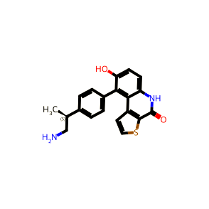 C[C@H](CN)c1ccc(-c2c(O)ccc3[nH]c(=O)c4sccc4c23)cc1